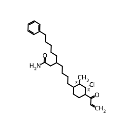 C=CC(=O)C1CCC(CCCCC(CCCCCc2ccccc2)CC(N)=O)[C@@H](C)[C@@H]1Cl